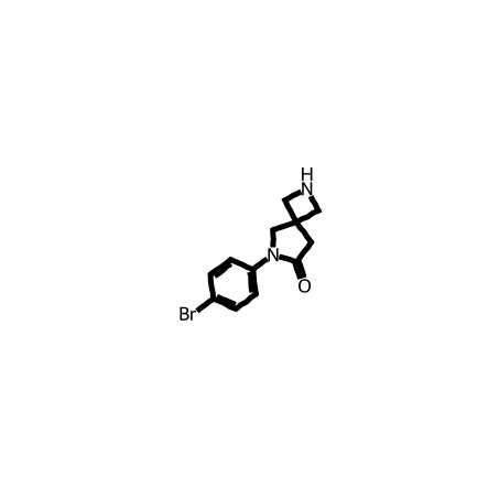 O=C1CC2(CNC2)CN1c1ccc(Br)cc1